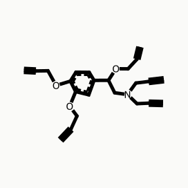 C#CCOc1ccc(C(CN(CC#C)CC#C)OCC#C)cc1OCC#C